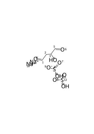 O=CCC(O)C=O.O=S([O-])O.O=S([O-])O.[Na+].[Na+]